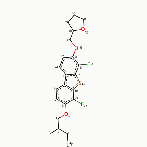 CC(C)CC(C)COc1ccc2c(sc3c(F)c(OCC4CCCO4)ccc32)c1F